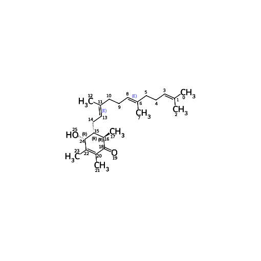 CC(C)=CCC/C(C)=C/CC/C(C)=C/C[C@@H]1[C@@H](C)C(=O)C(C)=C(C)[C@@H]1O